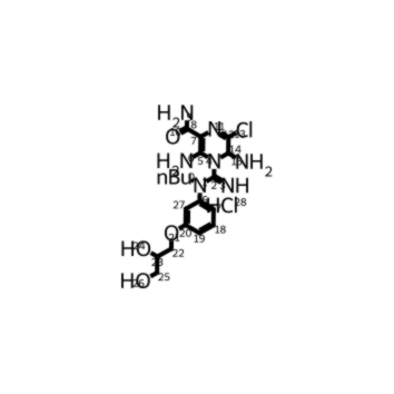 CCCCN(C(=N)N1C(N)=C(C(N)=O)N=C(Cl)C1N)c1cccc(OCC(O)CO)c1.Cl